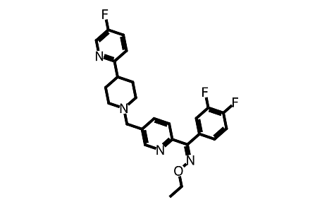 CCON=C(c1ccc(F)c(F)c1)c1ccc(CN2CCC(c3ccc(F)cn3)CC2)cn1